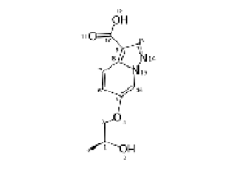 C[C@H](O)COc1ccc2c(C(=O)O)cnn2c1